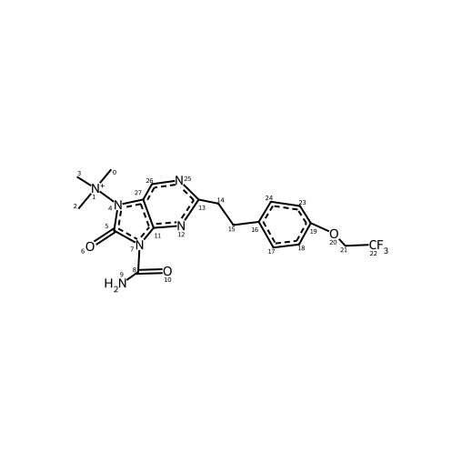 C[N+](C)(C)n1c(=O)n(C(N)=O)c2nc(CCc3ccc(OCC(F)(F)F)cc3)ncc21